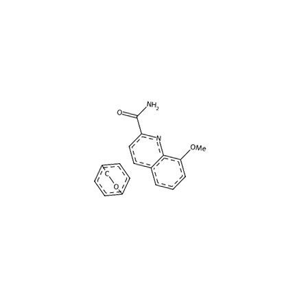 COc1cccc2ccc(C(N)=O)nc12.c1cc2ccc1CO2